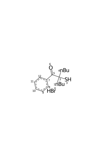 Br.CCCCC(S)(CCCC)C(=O)c1ccccc1